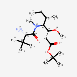 CC[C@H](C)[C@@H]([C@@H](CC(=O)OC(C)(C)C)OC)N(C)C(=O)[C@@H](N)C(C)(C)C